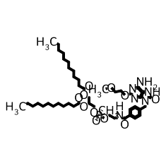 CCCCCCCCCCCC(=O)OCC(COP(C)(=O)OCCNC(=O)c1ccc(Cn2c(=O)[nH]c3c(N)nc(OCCOC)nc32)cc1)OC(=O)CCCCCCCCCCC